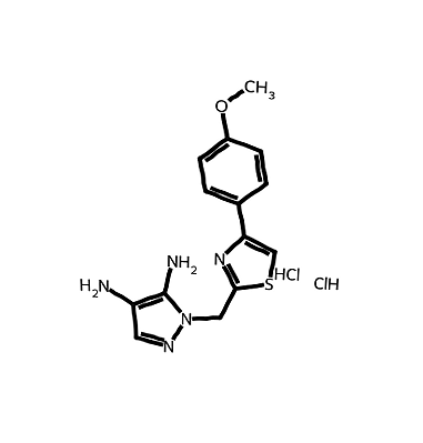 COc1ccc(-c2csc(Cn3ncc(N)c3N)n2)cc1.Cl.Cl